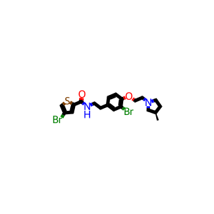 C[C@@H]1CCN(CCOc2ccc(CCNC(=O)c3cc(Br)cs3)cc2Br)C1